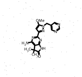 COc1cc(-c2nc(N)c3c(n2)NC(=O)C3(C)C)nn1Cc1cncnc1